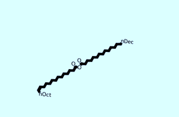 CCCCCCCC/C=C\CCCCCCCCCCCC(=O)OC(=O)CCCCCCCCCCCCCCCCCCCCCCC